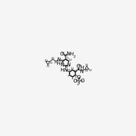 CS(=O)(=O)Oc1ccc(Nc2ncc(C(N)=O)c(NCCC3CC3)n2)cc1C(=O)NC1CC1